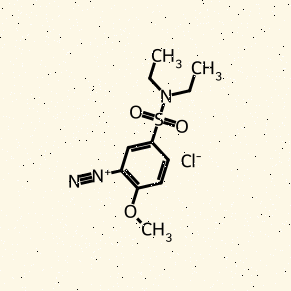 CCN(CC)S(=O)(=O)c1ccc(OC)c([N+]#N)c1.[Cl-]